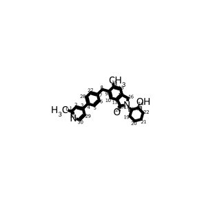 Cc1cc(-c2ccc(Cc3cc4c(cc3C)CN([C@@H]3CCCC[C@H]3O)C4=O)cc2)ccn1